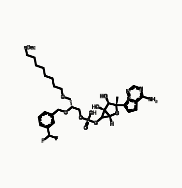 CCCCCCCCCCCCCCCCCCOC[C@H](COP(=O)(O)OC1[C@H]2O[C@@](C)(c3ccc4c(N)ncnn34)[C@H](O)[C@@]12O)OCc1cccc(C(F)F)c1